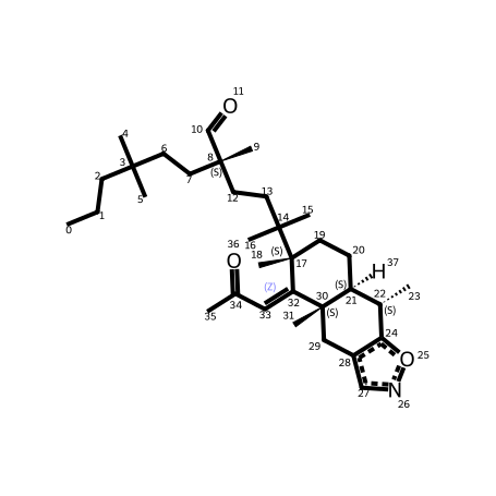 CCCC(C)(C)CC[C@](C)(C=O)CCC(C)(C)[C@]1(C)CC[C@H]2[C@H](C)c3oncc3C[C@]2(C)/C1=C/C(C)=O